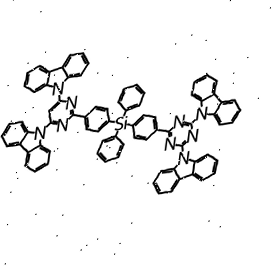 c1ccc([Si](c2ccccc2)(c2ccc(-c3nc(-n4c5ccccc5c5ccccc54)cc(-n4c5ccccc5c5ccccc54)n3)cc2)c2ccc(-c3nc(-n4c5ccccc5c5ccccc54)nc(-n4c5ccccc5c5ccccc54)n3)cc2)cc1